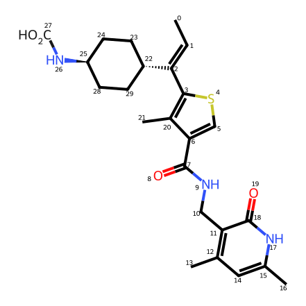 C/C=C(/c1scc(C(=O)NCc2c(C)cc(C)[nH]c2=O)c1C)[C@H]1CC[C@H](NC(=O)O)CC1